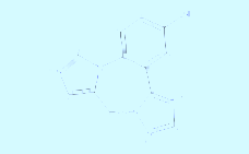 Nc1ccc2c(c1)-c1ncnn1Cc1cncn1-2